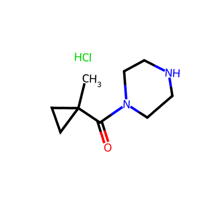 CC1(C(=O)N2CCNCC2)CC1.Cl